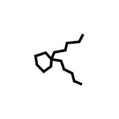 CCCCCC1(CCCCC)CCCCC1